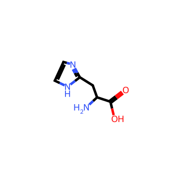 NC(Cc1ncc[nH]1)C(=O)O